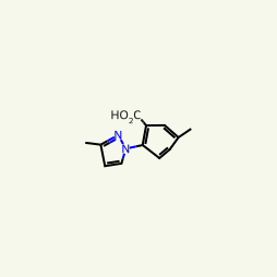 Cc1ccc(-n2ccc(C)n2)c(C(=O)O)c1